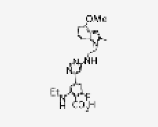 CCNc1cc(-c2cc(NCCn3c(C)cc4c(OC)cccc43)ncn2)cc(F)c1C(=O)O